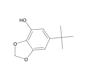 CC(C)(C)c1cc(O)c2c(c1)OCO2